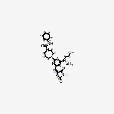 CN(CCO)c1cc(/C=C2/SC(=O)NC2=O)nc(N2CCCN(C(=O)Nc3ccccc3)CC2)n1